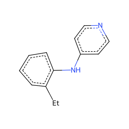 CCc1ccccc1Nc1ccncc1